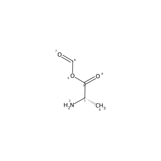 C[C@H](N)C(=O)OC=O